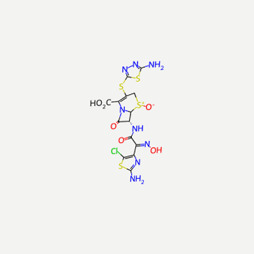 Nc1nnc(SC2=C(C(=O)O)N3C(=O)[C@@H](NC(=O)C(=NO)c4nc(N)sc4Cl)C3[S+]([O-])C2)s1